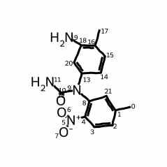 Cc1ccc([N+](=O)[O-])c(N(C(N)=O)c2ccc(C)c(N)c2)c1